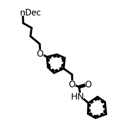 CCCCCCCCCCCCCCOc1ccc(COC(=O)Nc2ccccc2)cc1